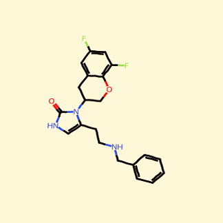 O=c1[nH]cc(CCNCc2ccccc2)n1C1COc2c(F)cc(F)cc2C1